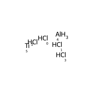 Cl.Cl.Cl.Cl.[AlH3].[Ti]